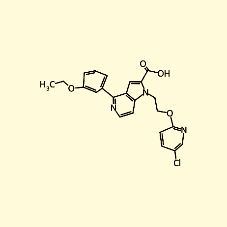 CCOc1cccc(-c2nccc3c2cc(C(=O)O)n3CCOc2ccc(Cl)cn2)c1